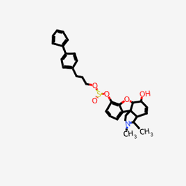 CC1C2C=CC(O)C3Oc4c(OS(=O)OCCCc5ccc(-c6ccccc6)cc5)cccc4C23CCN1C